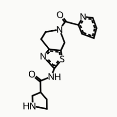 O=C(Nc1nc2c(s1)CN(C(=O)c1ccccn1)CC2)C1CCNC1